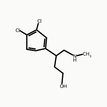 CNCC(CCO)c1ccc(Cl)c(Cl)c1